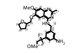 COCC(F)(F)c1cc(N)cc([C@@H](C)Nc2nc(C)nc3cc(OC)c(OCC4CCCO4)cc23)c1